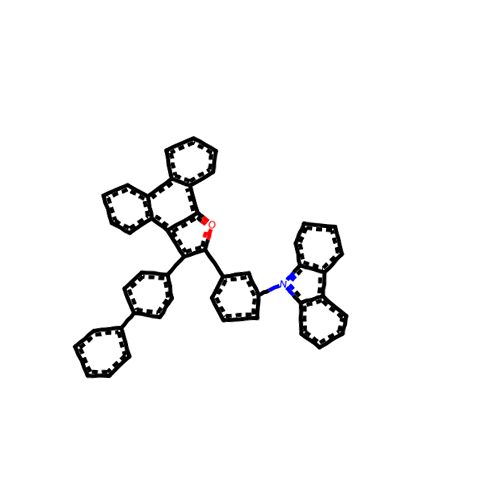 c1ccc(-c2ccc(-c3c(-c4cccc(-n5c6ccccc6c6ccccc65)c4)oc4c5ccccc5c5ccccc5c34)cc2)cc1